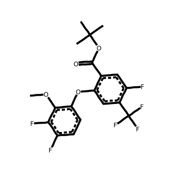 COc1c(Oc2cc(C(F)(F)F)c(F)cc2C(=O)OC(C)(C)C)ccc(F)c1F